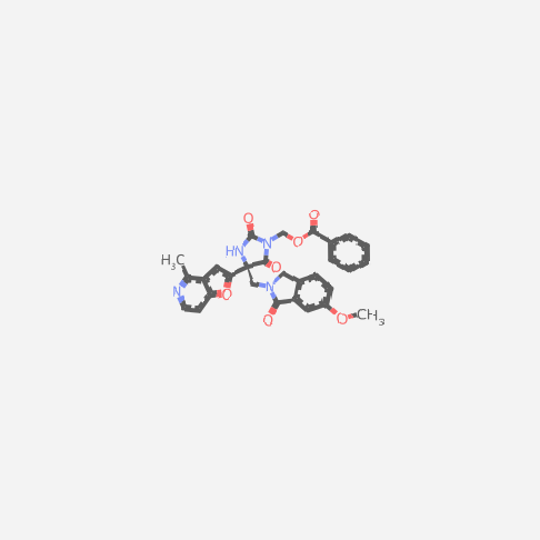 COc1ccc2c(c1)C(=O)N(C[C@@]1(c3cc4c(C)nccc4o3)NC(=O)N(COC(=O)c3ccccc3)C1=O)C2